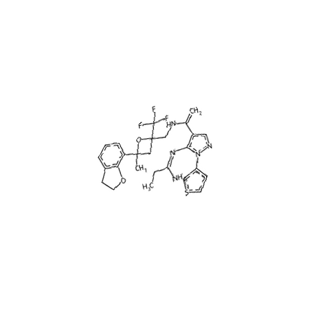 C=C(NCC1(C(F)(F)F)CC(C)(c2cccc3c2OCC3)O1)c1cnn(-c2ccsc2)c1/N=C(\N)CC